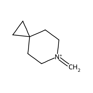 C=[N+]1CCC2(CC1)CC2